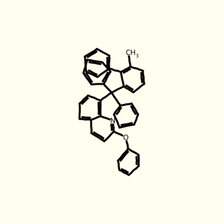 Cc1cccc(C(c2ccccc2)(c2ccccc2)c2cccc3ccc(Oc4ccccc4)nc23)c1-c1ccccc1